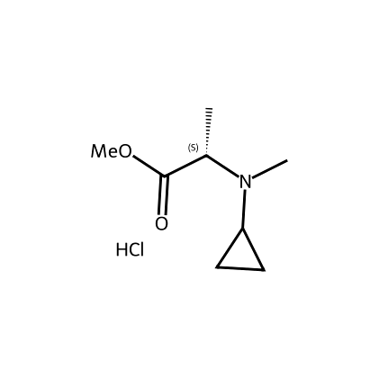 COC(=O)[C@H](C)N(C)C1CC1.Cl